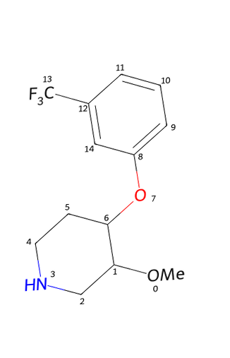 COC1CNCCC1Oc1cccc(C(F)(F)F)c1